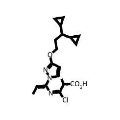 C/C=C(\N=C(\Cl)C(C)C(=O)O)n1ccc(OCCC(C2CC2)C2CC2)n1